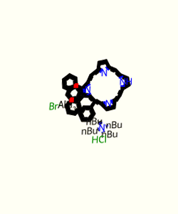 C1=Cc2cc3c(-c4ccccc4)c(-c4ccccc4)c(c(-c4ccccc4)c4nc(cc5ccc(cc1n2)[nH]5)C=C4)n3-c1ccccc1.CCCC[N+](CCCC)(CCCC)CCCC.Cl.[AlH3].[Br-]